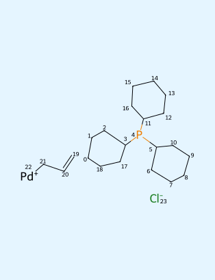 C1CCC(P(C2CCCCC2)C2CCCCC2)CC1.C=C[CH2][Pd+].[Cl-]